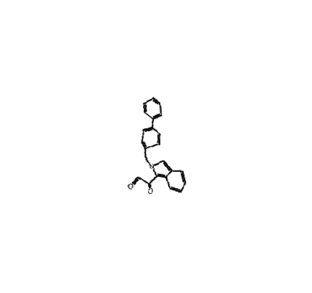 O=CC(=O)c1c2ccccc2cn1Cc1ccc(-c2ccccc2)cc1